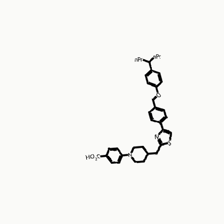 CCCC(CCC)c1ccc(OCc2ccc(-c3csc(CC4CCN(c5ccc(C(=O)O)cc5)CC4)n3)cc2)cc1